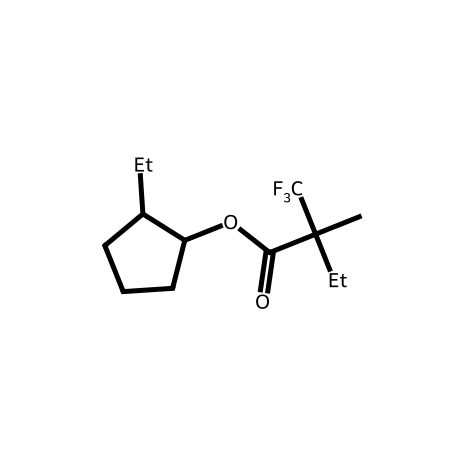 CCC1CCCC1OC(=O)C(C)(CC)C(F)(F)F